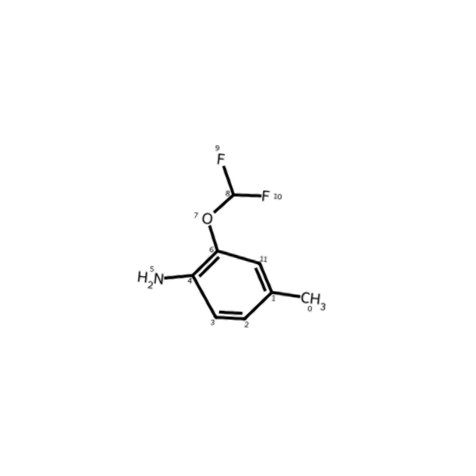 Cc1ccc(N)c(OC(F)F)c1